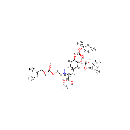 CCC(C)COC(=O)OCCN[C@@H](Cc1ccc(OC(=O)OC(C)(C)CC)c(OC(=O)OC(C)(C)CC)c1)C(=O)OC